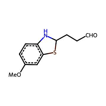 COc1ccc2c(c1)SC(CCC=O)N2